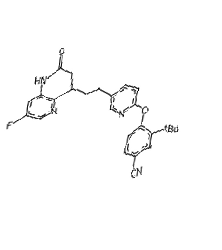 CC(C)(C)c1cc(C#N)ccc1Oc1ccc(CCC2CC(=O)Nc3cc(F)cnc32)cn1